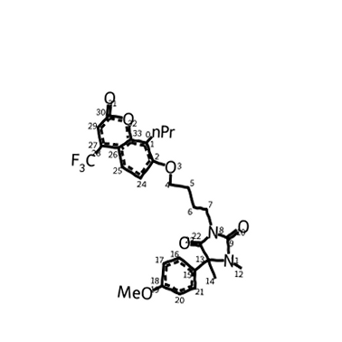 CCCc1c(OCCCCN2C(=O)N(C)C(C)(c3ccc(OC)cc3)C2=O)ccc2c(C(F)(F)F)cc(=O)oc12